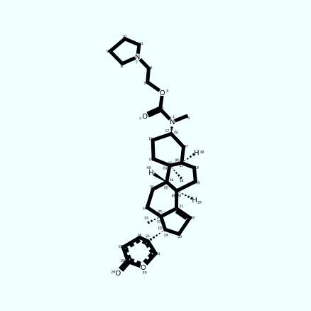 CN(C(=O)OCCN1CCCC1)[C@H]1CC[C@@]2(C)[C@H](CC[C@H]3C4=CC[C@H](c5ccc(=O)oc5)[C@@]4(C)CC[C@@H]32)C1